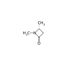 C[C@@H]1CC(=O)N1C